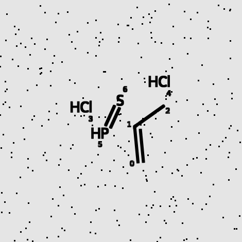 C=CC.Cl.Cl.P=S